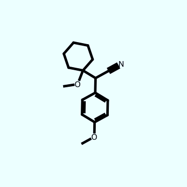 COc1ccc(C(C#N)C2(OC)CCCCC2)cc1